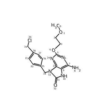 COCCOc1nc(N)c2[nH]c(=O)n(Cc3ccc(CCl)cc3)c2n1